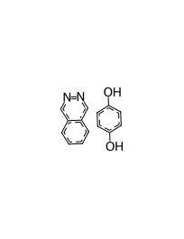 Oc1ccc(O)cc1.c1ccc2cnncc2c1